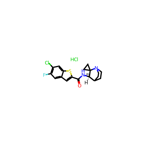 Cl.O=C(N[C@@H]1C2CCN(CC2)C12CC2)c1cc2cc(F)c(Cl)cc2s1